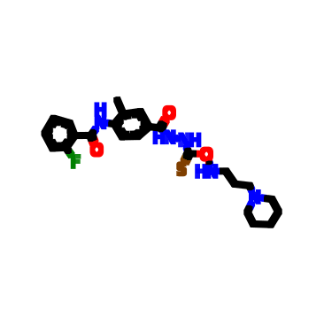 Cc1cc(C(=O)NNC(=S)ONCCCN2CCCCC2)ccc1NC(=O)c1ccccc1F